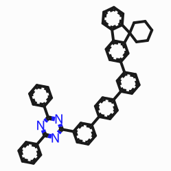 c1ccc(-c2nc(-c3ccccc3)nc(-c3cccc(-c4ccc(-c5cccc(-c6ccc7c(c6)C6(CCCCC6)c6ccccc6-7)c5)cc4)c3)n2)cc1